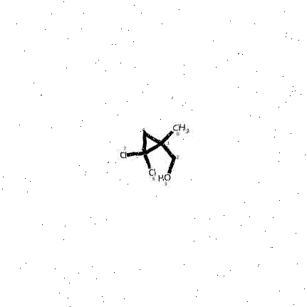 CC1(CO)CC1(Cl)Cl